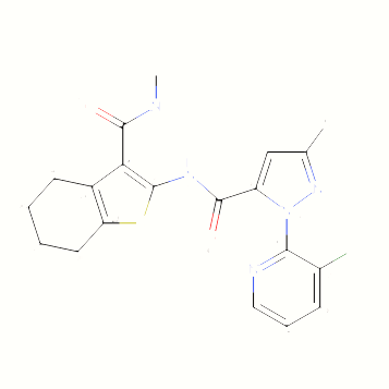 CC(C)NC(=O)c1c(NC(=O)c2cc(C(F)(F)F)nn2-c2ncccc2Cl)sc2c1CCCC2